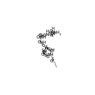 CCCCCCCC(=O)SCC/C=C/C1CC(=O)NCc2nc(c(-c3ccc(CNC(=O)CC[C@H](NC(=O)c4ccc(NCc5cnc6nc(N)[nH]c(=O)c6n5)cc4)C(=O)O)cc3)s2)C2=N[C@@](C)(CS2)C(=O)N[C@@H](C(C)C)C(=O)N1